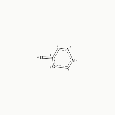 O=c1cnnco1